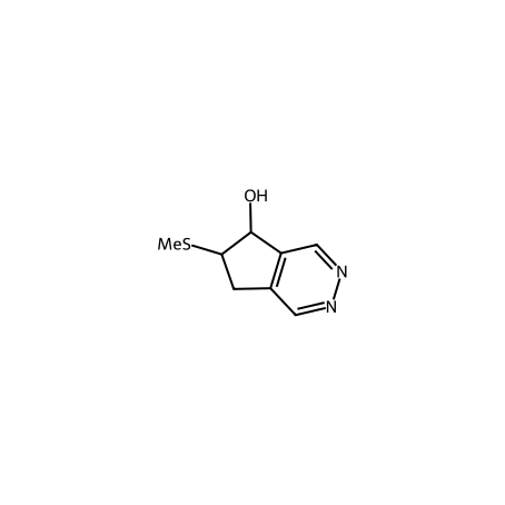 CSC1Cc2cnncc2C1O